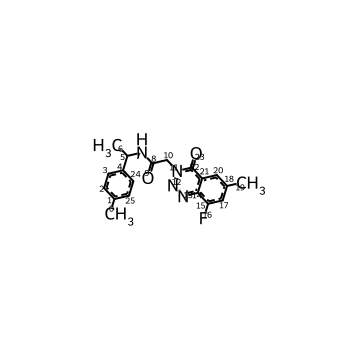 Cc1ccc(C(C)NC(=O)Cn2nnc3c(F)cc(C)cc3c2=O)cc1